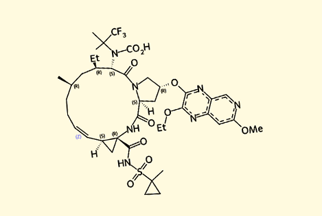 CCOc1nc2cc(OC)ncc2nc1O[C@@H]1C[C@H]2C(=O)N[C@]3(C(=O)NS(=O)(=O)C4(C)CC4)C[C@H]3/C=C\CC[C@@H](C)C[C@@H](CC)[C@H](N(C(=O)O)C(C)(C)C(F)(F)F)C(=O)N2C1